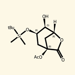 CC(=O)O[C@@]12C[C@@H](OC1=O)[C@H](O)[C@H](O[Si](C)(C)C(C)(C)C)C2